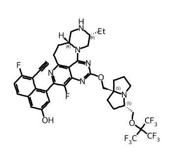 C#Cc1c(F)ccc2cc(O)cc(-c3nc4c5c(nc(OC[C@@]67CCCN6[C@H](COC(C(F)(F)F)(C(F)(F)F)C(F)(F)F)CC7)nc5c3F)N3C[C@@H](CC)NC[C@H]3CC4)c12